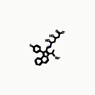 CC(C)c1c(/C=C/C(O)CC(O)CC(=O)[O-])c(-c2ccc(F)cc2)c2c3ccccc3ccn12.[Na+]